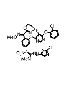 CN/C(=N\[N+](=O)[O-])NCc1cnc(Cl)s1.CO/N=C(/C1=NOCCO1)c1ccccc1Oc1ncnc(Oc2ccccc2Cl)c1F